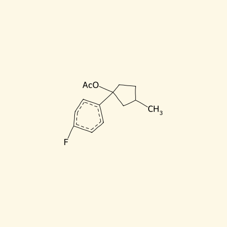 CC(=O)OC1(c2ccc(F)cc2)CCC(C)C1